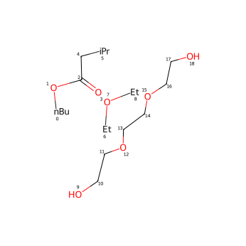 CCCCOC(=O)CC(C)C.CCOCC.OCCOCCOCCO